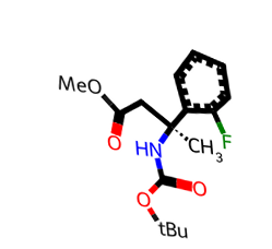 COC(=O)C[C@](C)(NC(=O)OC(C)(C)C)c1ccccc1F